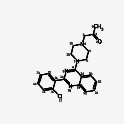 CC(=O)CN1CCN(c2nc(-c3ccccc3Cl)nc3ccccc23)CC1